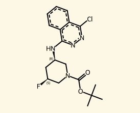 CC(C)(C)OC(=O)N1C[C@@H](F)C[C@@H](Nc2nnc(Cl)c3ccccc23)C1